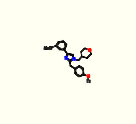 CCOc1ccc(Cc2nc(-c3cccc(OC)c3)cn2CC2CCOCC2)cc1